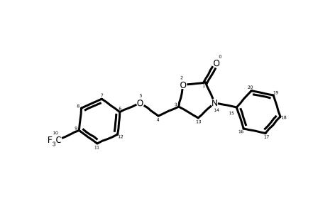 O=C1OC(COc2ccc(C(F)(F)F)cc2)CN1c1ccccc1